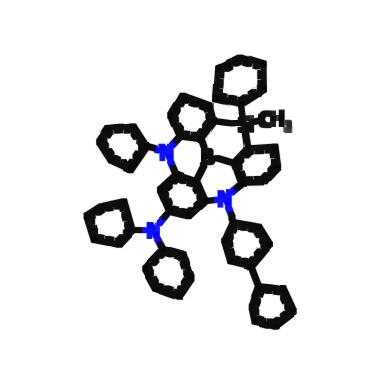 C[Si]1(c2ccccc2)c2cccc3c2B2c4c(cc(N(c5ccccc5)c5ccccc5)cc4N(c4ccc(-c5ccccc5)cc4)c4cccc1c42)N3c1ccccc1